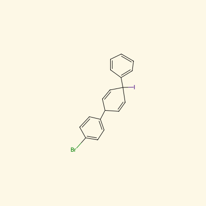 Brc1ccc(C2C=CC(I)(c3ccccc3)C=C2)cc1